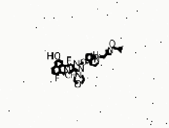 C#Cc1c(F)ccc2cc(O)cc(-c3ncc4c(N5CCCOCC5)nc(OC[C@]56CCC[C@H]5N(CCC5CN(C(=O)C7CC7)C5)CCC6)nc4c3F)c12